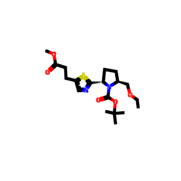 CCOC[C@@H]1CC[C@@H](c2ncc(CCC(=O)OC)s2)N1C(=O)OC(C)(C)C